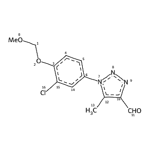 COCOc1ccc(-n2nnc(C=O)c2C)cc1Cl